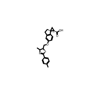 Cc1ccc(C2=NC(C)C(COc3ccc4c(c3)CC[C@]43C[C@H]3C(=O)O)S2)cc1